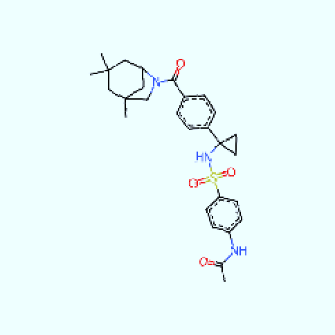 CC(=O)Nc1ccc(S(=O)(=O)NC2(c3ccc(C(=O)N4CC5(C)CC4CC(C)(C)C5)cc3)CC2)cc1